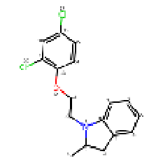 CC1Cc2ccccc2N1CCOc1ccc(Cl)cc1Cl